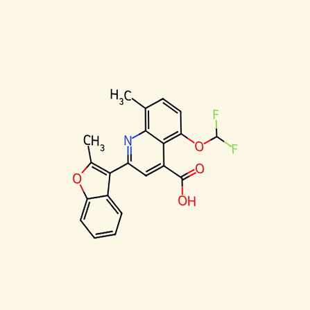 Cc1oc2ccccc2c1-c1cc(C(=O)O)c2c(OC(F)F)ccc(C)c2n1